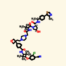 Cc1ncsc1-c1ccc([C@H](C)NC(=O)[C@@H]2C[C@@H](O)CN2C(=O)C(NC(=O)CN2CCN(CCC3(c4ccc(C(=O)NC5C(C)(C)C(Oc6ccc(C#N)c(Cl)c6)C5(C)C)cc4)COC3)CC2)C(C)(C)C)cc1